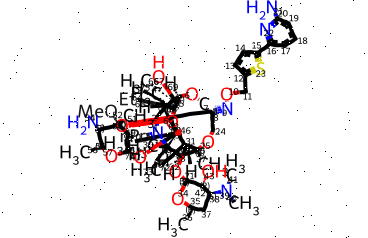 CCCN1C[C@H](C)[C@H]2OC/C(=N\OCc3ccc(-c4cccc(N)n4)s3)CO[C@](C)(C[C@H]1C)[C@H](O[C@@H]1O[C@H](C)C[C@H](N(C)C)[C@H]1O)[C@@H](C)[C@H](O[C@H]1C[C@@](C)(OC)[C@H](N)[C@H](C)O1)[C@@H](C)C(=O)O[C@H](CC)[C@@]2(C)O